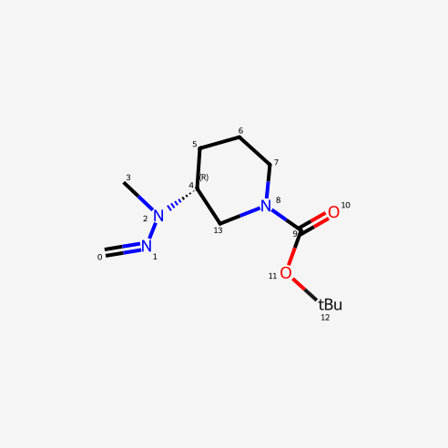 C=NN(C)[C@@H]1CCCN(C(=O)OC(C)(C)C)C1